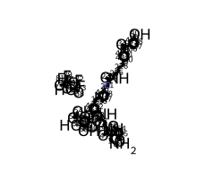 NCC(C(=O)NCCC(=O)Nc1cc(C[n+]2cccc(/C=C/C(=O)NCCCCC3CCN(C(=O)c4cccc(O)c4)CC3)c2)ccc1O[C@@H]1O[C@H](C(=O)O)[C@@H](O)[C@H](O)[C@H]1O)N1C(=O)C=CC1=O.O=C(O)C(F)(F)F.O=C([O-])C(F)(F)F